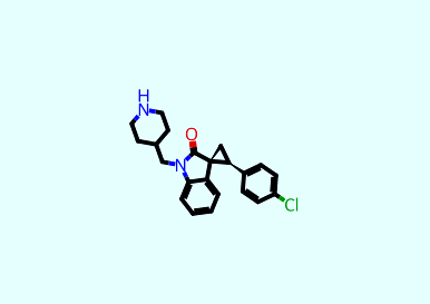 O=C1N(CC2CCNCC2)c2ccccc2[C@]12C[C@H]2c1ccc(Cl)cc1